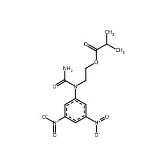 CC(C)C(=O)OCCN(C(N)=O)c1cc([N+](=O)[O-])cc([N+](=O)[O-])c1